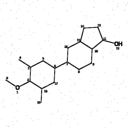 COC1C(C)CC(C2CCC3C(O)CCC3C2)CC1C